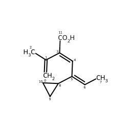 C=C(C)/C(=C\C(=C/C)C1CC1)C(=O)O